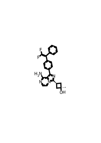 C[C@]1(O)C[C@@H](c2nc(-c3ccc(C(=C(F)F)c4ccccc4)cc3)c3c(N)nccn32)C1